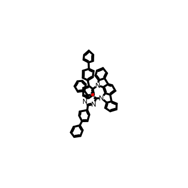 c1ccc(-c2ccc(-c3nc(-c4ccccc4)nc(-n4c5ccccc5c5ccc6c7ccccc7n(-c7ccccc7-c7ccc(-c8ccccc8)cc7)c6c54)n3)cc2)cc1